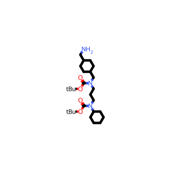 CC(C)(C)OC(=O)N(CCCN(C(=O)OC(C)(C)C)C1CCCCC1)CC1CCC(CN)CC1